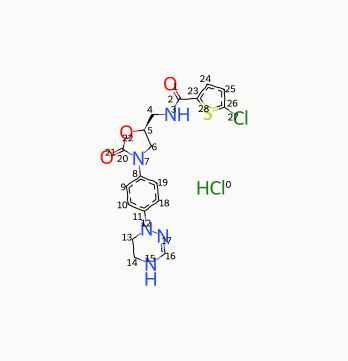 Cl.O=C(NC[C@H]1CN(c2ccc(N3CCNC=N3)cc2)C(=O)O1)c1ccc(Cl)s1